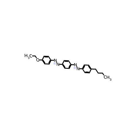 CCCCc1ccc(/N=N/c2ccc(/N=N/c3ccc(OCC)cc3)cc2)cc1